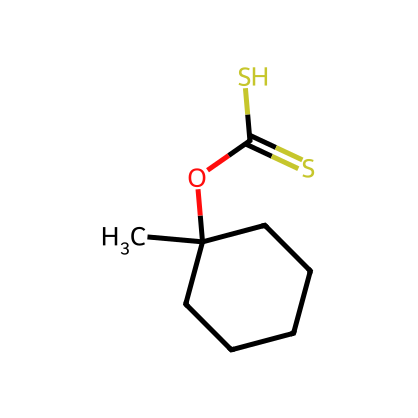 CC1(OC(=S)S)CCCCC1